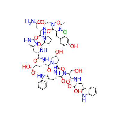 CC(=O)N(Cl)[C@@H](Cc1ccc(O)cc1)C(=O)N(C)[C@@H](C)C(=O)N[C@@H](CC(N)=O)C(=O)N1CCC[C@H]1C(=O)N[C@@H](Cc1c[nH]cn1)C(=O)N[C@@H](CCC(=O)O)C(=O)N1C[C@H](O)C[C@H]1C(=O)N[C@@H](Cc1c[nH]c2ccccc12)C(=O)N[C@@H](CO)C(=O)N[C@@H](Cc1c[nH]c2ccccc12)C(=O)O